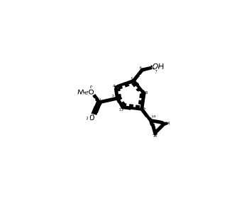 COC(=O)c1cc(CO)cc(C2CC2)c1